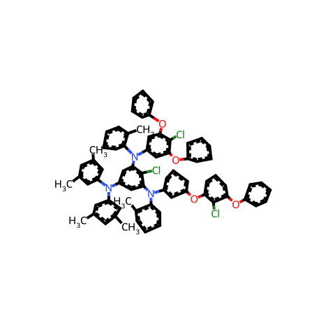 Cc1cc(C)cc(N(c2cc(C)cc(C)c2)c2cc(N(c3cccc(Oc4cccc(Oc5ccccc5)c4Cl)c3)c3ccccc3C)c(Cl)c(N(c3cc(Oc4ccccc4)c(Cl)c(Oc4ccccc4)c3)c3ccccc3C)c2)c1